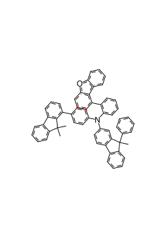 CC1(C)c2ccccc2-c2cccc(-c3ccc(N(c4ccc5c(c4)C(C)(c4ccccc4)c4ccccc4-5)c4ccccc4-c4cccc5oc6ccccc6c45)cc3)c21